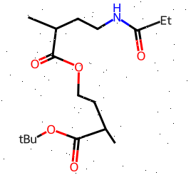 CCC(=O)NCCC(C)C(=O)OCCC(C)C(=O)OC(C)(C)C